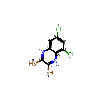 Sc1nc2cc(Cl)cc(Cl)c2nc1S